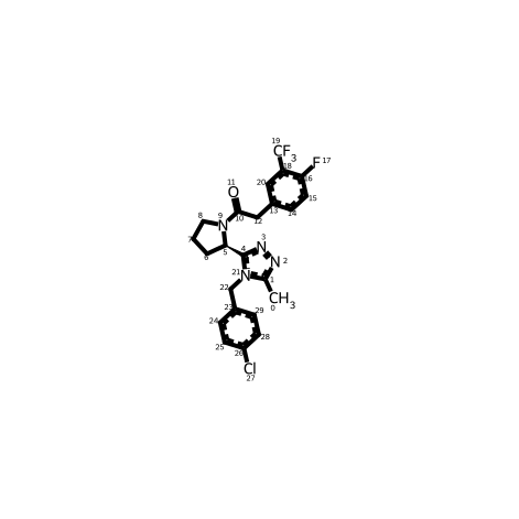 Cc1nnc([C@H]2CCCN2C(=O)Cc2ccc(F)c(C(F)(F)F)c2)n1Cc1ccc(Cl)cc1